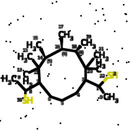 CC(S)C1CCCC(C(C)S)C(C)(C)[C@@H](C)[C@@H](C)[C@@H](C)C1(C)C